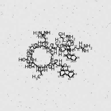 CC=CC[C@H](NC(=O)[C@H](CCCNC(=N)N)NC(=O)[C@H](Cc1cc2ccccc2[nH]1)NC(=O)[C@H](C)NC(=O)[C@@H]1CCCC[C@H](NC(=O)CNC(=O)OCC2c3ccccc3-c3ccccc32)C(=O)N[C@@H](CC=CC)C(=O)N[C@@H](CO)C(=O)N[C@@H](CC(=O)O)C(=O)N2CCCC2C(=O)N[C@@H](CCCNC(=N)N)C(=O)N1)C(N)=O